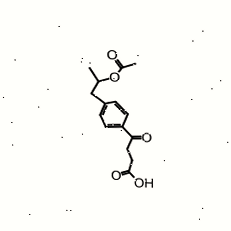 CC(=O)OC(C)Cc1ccc(C(=O)CCC(=O)O)cc1